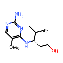 COc1cnc(N)nc1N[C@@H](CCO)C(C)C(C)C